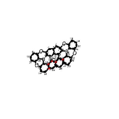 Nc1c2c(cc3cc4c5c(c13)N(c1ccccc1)c1cccc3c1B5c1c(cccc1O4)O3)Oc1cccc3c1B2c1c(Cc2ccccc2)cccc1O3